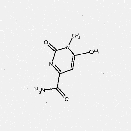 Cn1c(O)cc(C(N)=O)nc1=O